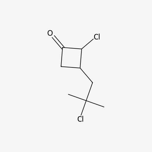 CC(C)(Cl)CC1CC(=O)C1Cl